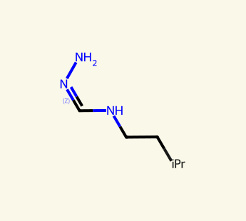 CC(C)CCN/C=N\N